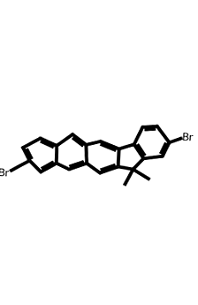 CC1(C)c2cc(Br)ccc2-c2cc3cc4ccc(Br)cc4cc3cc21